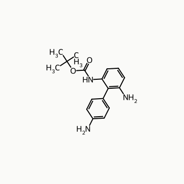 CC(C)(C)OC(=O)Nc1cccc(N)c1-c1ccc(N)cc1